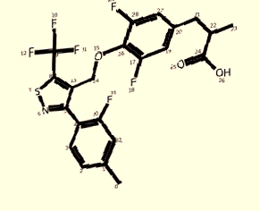 Cc1ccc(-c2nsc(C(F)(F)F)c2COc2c(F)cc(CC(C)C(=O)O)cc2F)c(F)c1